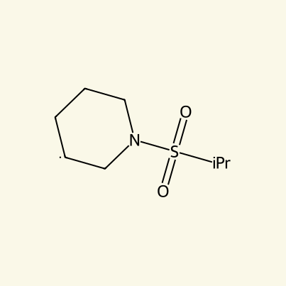 CC(C)S(=O)(=O)N1C[CH]CCC1